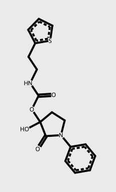 O=C(NCCc1cccs1)OC1(O)CCN(c2ccccc2)C1=O